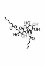 CCCCCC(=O)OCC1O[C@H](O[C@H]2OC(COC(=O)CCCCC)[C@@H](O)[C@H](O)C2O)C(O)C(O)[C@@H]1O